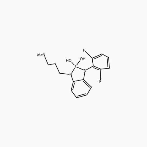 CNCCCN1c2ccccc2N(c2c(F)cccc2F)S1(O)O